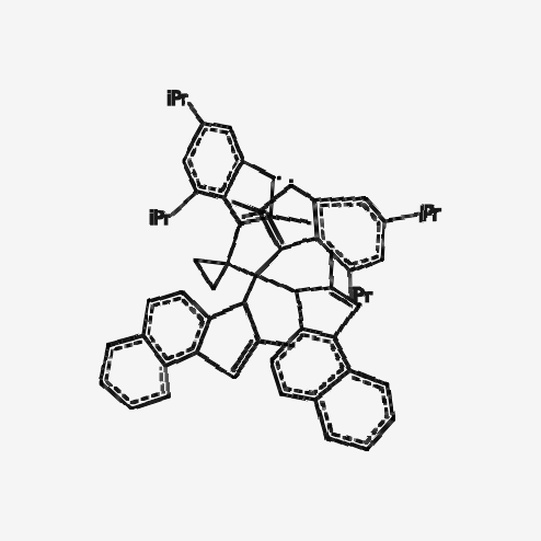 CC1=Cc2c(ccc3ccccc23)C1C(C1=C(C)[CH]c2cc(C(C)C)cc(C(C)C)c21)(C1C(C)=Cc2c1ccc1ccccc21)C1(C2=C(C)[CH]c3cc(C(C)C)cc(C(C)C)c32)CC1